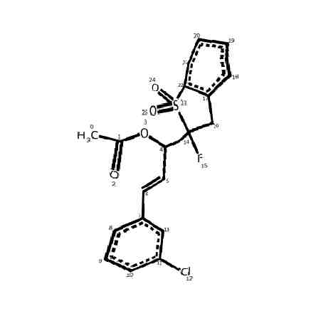 CC(=O)OC(/C=C/c1cccc(Cl)c1)C1(F)Cc2ccccc2S1(=O)=O